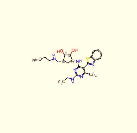 COCCNC[C@H]1C[C@@H](Nc2nc(NCC(F)(F)F)nc(C)c2-c2nc3ccccc3s2)[C@H](O)[C@@H]1O